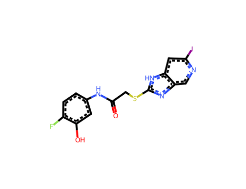 O=C(CSc1nc2cnc(I)cc2[nH]1)Nc1ccc(F)c(O)c1